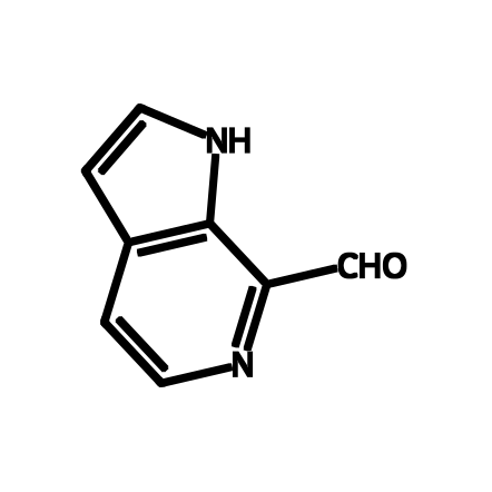 O=Cc1nccc2cc[nH]c12